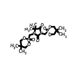 CC1(C)COP(=O)(CN2C(=O)N(CP3(=O)OCC(C)(C)CO3)C(C)(C)C2=O)OC1